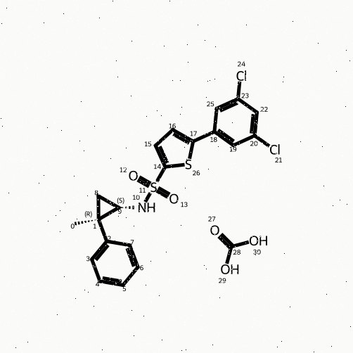 C[C@]1(c2ccccc2)C[C@@H]1NS(=O)(=O)c1ccc(-c2cc(Cl)cc(Cl)c2)s1.O=C(O)O